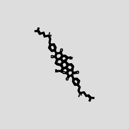 CC(C)=CCC[C@H](C)CCc1ccc(N2C(=O)c3ccc4c5c(Br)cc6c7c(ccc(c8c(Br)cc(c3c48)C2=O)c75)C(=O)N(c2ccc(CC[C@@H](C)CCC=C(C)C)cc2)C6=O)cc1